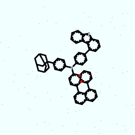 c1ccc(-c2cccc3cccc(-c4ccc(N(c5ccc(-c6cccc7sc8ccccc8c67)cc5)c5ccc(C67CC8CC(CC(C8)C6)C7)cc5)cc4)c23)cc1